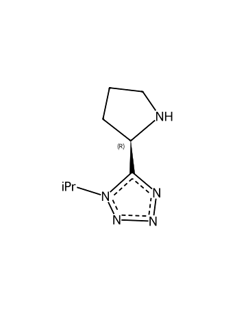 CC(C)n1nnnc1[C@H]1CCCN1